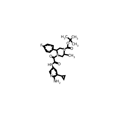 CC1CN(C(=O)C(=O)Nc2cnc(N)c(C3CC3)c2)C(c2ccc(F)cc2)CN1C(=O)OC(C)(C)C